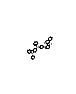 c1ccc(N(c2ccc(-c3cccc4oc5c6ccccc6cnc5c34)cc2)c2ccc3c(c2)c2ccccc2n3-c2ccccc2)cc1